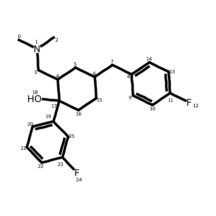 CN(C)CC1CC(Cc2ccc(F)cc2)CCC1(O)c1cccc(F)c1